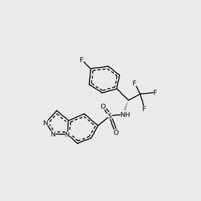 O=S(=O)(N[C@H](c1ccc(F)cc1)C(F)(F)F)c1ccn2nncc2c1